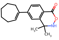 CC1(C)NOC(=O)c2ccc(C3=CCCCCC3)cc21